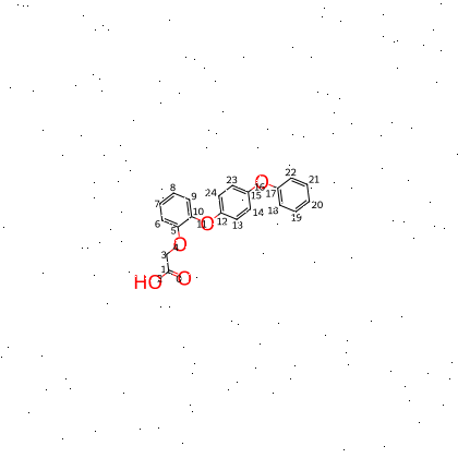 O=C(O)COc1ccccc1Oc1ccc(Oc2ccccc2)cc1